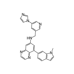 Cn1ccc2ccc(-c3cc(NCc4cncc(-n5ccnc5)c4)cc4nccnc34)cc21